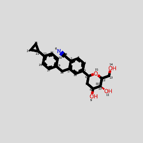 N#Cc1ccc(C2CC(O)[C@H](O)C(CO)O2)cc1Cc1ccc(C2CC2)cc1